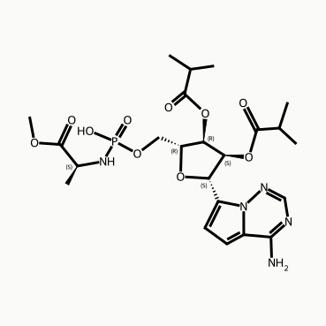 COC(=O)[C@H](C)NP(=O)(O)OC[C@H]1O[C@@H](c2ccc3c(N)ncnn23)[C@H](OC(=O)C(C)C)[C@@H]1OC(=O)C(C)C